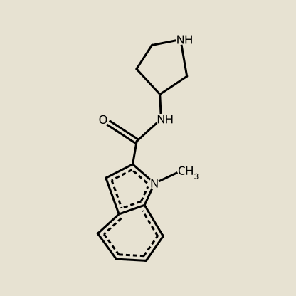 Cn1c(C(=O)NC2CCNC2)cc2ccccc21